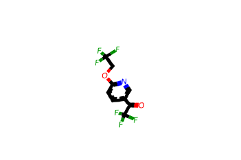 O=C(c1ccc(OCC(F)(F)F)nc1)C(F)(F)F